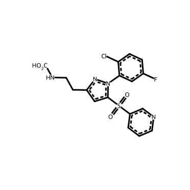 O=C(O)NCCc1cc(S(=O)(=O)c2cccnc2)n(-c2cc(F)ccc2Cl)n1